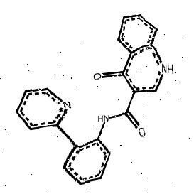 O=C(Nc1ccccc1-c1ccccn1)c1c[nH]c2ccccc2c1=O